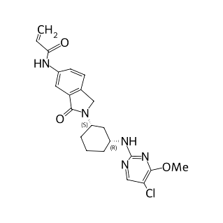 C=CC(=O)Nc1ccc2c(c1)C(=O)N([C@H]1CCC[C@@H](Nc3ncc(Cl)c(OC)n3)C1)C2